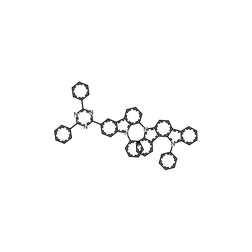 c1ccc(-c2nc(-c3ccccc3)nc(-c3ccc4c(c3)c3cccc(-n5c6ccccc6c6c5ccc5c7ccccc7n(-c7ccccc7)c56)c3n4-c3ccccc3)n2)cc1